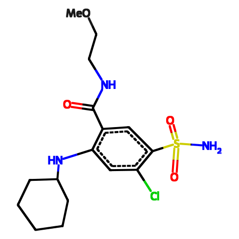 COCCNC(=O)c1cc(S(N)(=O)=O)c(Cl)cc1NC1CCCCC1